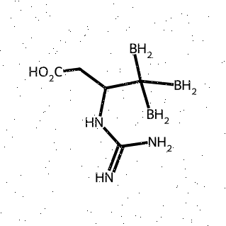 BC(B)(B)C(CC(=O)O)NC(=N)N